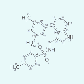 Cc1ccc(S(=O)(=O)NCc2c[nH]c3nccc(-c4cc(C)cc(C)c4)c23)cc1